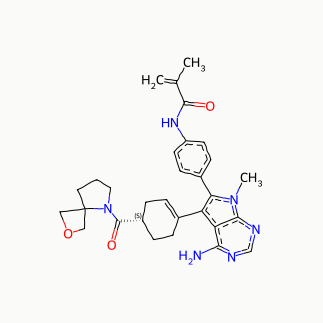 C=C(C)C(=O)Nc1ccc(-c2c(C3=CC[C@@H](C(=O)N4CCCC45COC5)CC3)c3c(N)ncnc3n2C)cc1